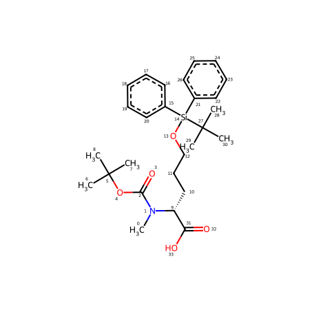 CN(C(=O)OC(C)(C)C)[C@H](CCCO[Si](c1ccccc1)(c1ccccc1)C(C)(C)C)C(=O)O